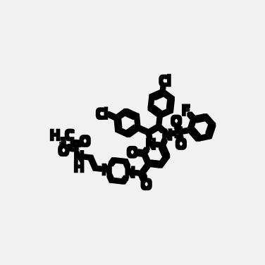 CS(=O)(=O)NCCN1CCN(C(=O)c2ccc3n(c2=O)C(c2ccc(Cl)cc2)C(c2ccc(Cl)cc2)N3S(=O)(=O)c2ccccc2F)CC1